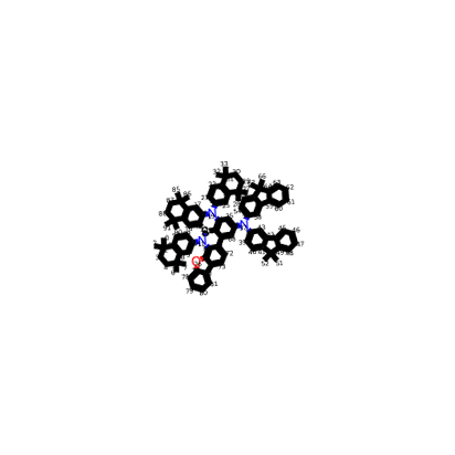 CC1(C)CCC(C)(C)c2cc(N3B4c5cc6c(cc5N(c5ccc7c(c5)C(C)(C)CCC7(C)C)c5cc(N(c7ccc8c(c7)-c7ccccc7C8(C)C)c7ccc8c(c7)-c7ccccc7C8(C)C)cc(c54)-c4ccc5c(oc7ccccc75)c43)C(C)(C)CCC6(C)C)ccc21